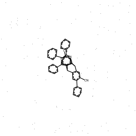 N#Cc1cc2c(cc1-c1ccccc1)C1c3cc(-c4ccccc4)c(C#N)cc3C2c2nc(-c3ccccc3)nc(-c3ccccc3)c21